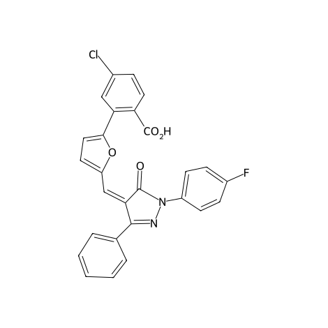 O=C(O)c1ccc(Cl)cc1-c1ccc(C=C2C(=O)N(c3ccc(F)cc3)N=C2c2ccccc2)o1